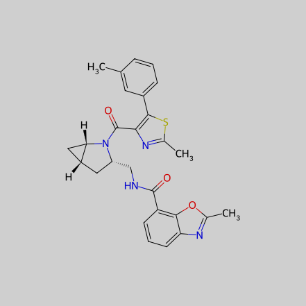 Cc1cccc(-c2sc(C)nc2C(=O)N2[C@H](CNC(=O)c3cccc4nc(C)oc34)C[C@@H]3C[C@@H]32)c1